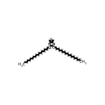 CCCCCCCCCCCCCCCCCCOc1nc2cscc2nc1OCCCCCCCCCCCCCCCCCC